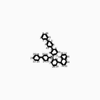 c1ccc(-c2ccc(-c3cccc(N(c4ccc(-c5ccccc5)cc4)c4cccc(-c5cccc6ccccc56)c4)c3)cc2)cc1